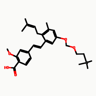 COc1cc(/C=C/c2cc(OCOCC[Si](C)(C)C)cc(C)c2CC=C(C)C)ccc1C(=O)O